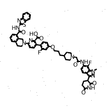 Cn1nc(C2CCC(=O)NC2=O)c2ccc(NC(=O)CN3CCC(CCCOc4ccc(-c5ccc(N6CCc7cccc(C(=O)Nc8nc9ccccc9s8)c7C6)nc5C(=O)O)c(F)c4)CC3)c(F)c21